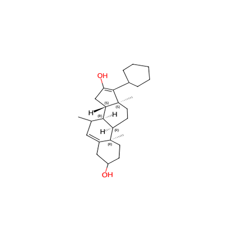 CC1C=C2CC(O)CC[C@]2(C)[C@@H]2CC[C@]3(C)C(C4CCCCC4)=C(O)C[C@H]3[C@H]12